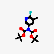 Cc1cc(N(C(=O)OC(C)(C)C)C(=O)OC(C)(C)C)cnc1F